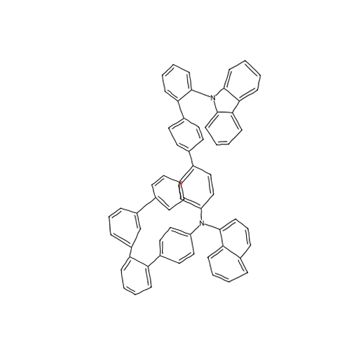 c1ccc(-c2cccc(-c3ccccc3-c3ccc(N(c4ccc(-c5ccc(-c6ccccc6-n6c7ccccc7c7ccccc76)cc5)cc4)c4cccc5ccccc45)cc3)c2)cc1